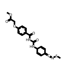 COC(=O)COc1ccc(C(=O)NC(=O)NC2C=CC(=C=NSC)C=C2)cc1